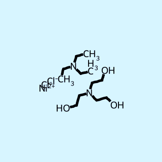 CCN(CC)CC.OCCN(CCO)CCO.[Cl-].[Cl-].[Ni+2]